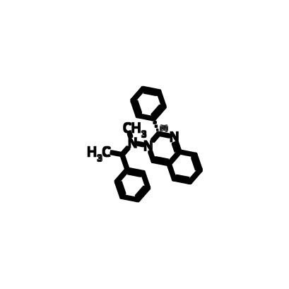 CC(c1ccccc1)N(C)N1C=c2ccccc2=N[C@H]1c1ccccc1